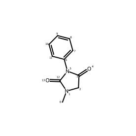 CN1CC(=O)N(c2ccccc2)C1=O